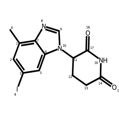 Cc1cc(I)cc2c1ncn2C1CCC(=O)NC1=O